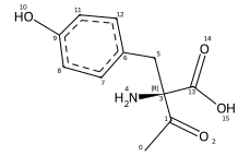 CC(=O)[C@](N)(Cc1ccc(O)cc1)C(=O)O